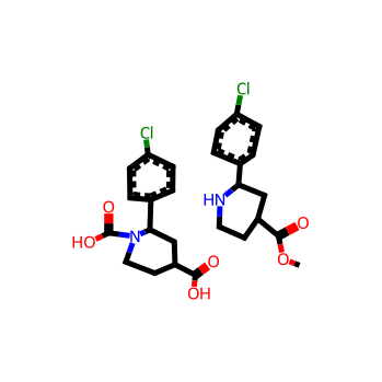 COC(=O)C1CCNC(c2ccc(Cl)cc2)C1.O=C(O)C1CCN(C(=O)O)C(c2ccc(Cl)cc2)C1